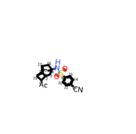 CC(=O)C1C2CC3(NS(=O)(=O)c4ccc(C#N)cc4)CC=C2C1C3